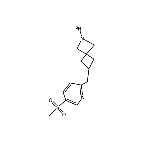 [2H]N1CC2(CC(Cc3ccc(S(C)(=O)=O)cn3)C2)C1